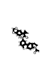 CC(=O)N1CCc2cc(-c3cc(NC(=O)C4(c5ccc6c(c5)OCO6)CC4)ccc3C)ccc21